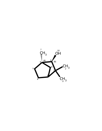 CC1(C)C2CC[C@](C)(C2)[C@H]1O